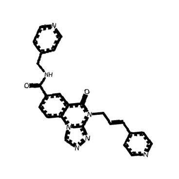 O=C(NCc1ccncc1)c1ccc2c(c1)c(=O)n(CC=Cc1ccncc1)c1nncn21